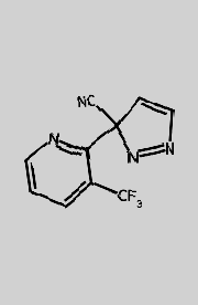 N#CC1(c2ncccc2C(F)(F)F)C=CN=N1